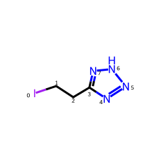 ICCc1nn[nH]n1